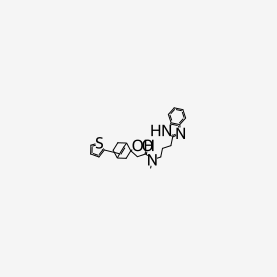 CN(CCCc1nc2ccccc2[nH]1)C(=O)CC1(O)CC2CCC1C=C2c1cccs1